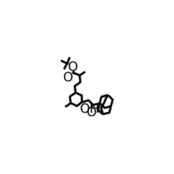 CC1CC(CCC(C)C(=O)OC(C)(C)C)CC(O)(CC(=O)C23CC4CC(CC(C4)C2)C3)C1